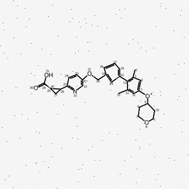 Cc1cc(OC2CCOCC2)cc(C)c1-c1cccc(COc2ccc(C3C[C@H]3C(=O)O)nc2)c1